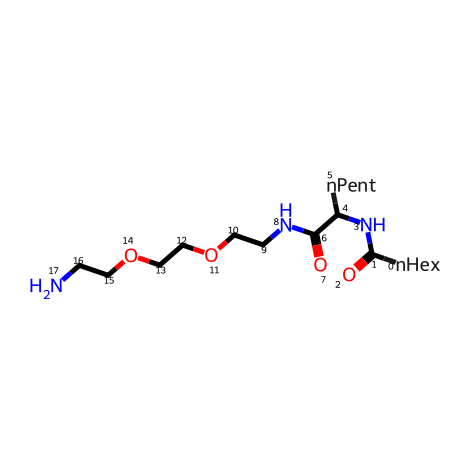 CCCCCCC(=O)NC(CCCCC)C(=O)NCCOCCOCCN